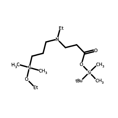 CCO[Si](C)(C)CCCN(CC)CCC(=O)O[Si](C)(C)C(C)(C)C